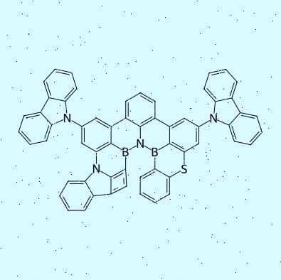 c1ccc2c(c1)Sc1cc(-n3c4ccccc4c4ccccc43)cc3c1B2N1B2c4c(cc(-n5c6ccccc6c6ccccc65)cc4-n4c5ccccc5c5cccc2c54)-c2cccc-3c21